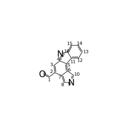 O=Cc1cc2c(c3c1=CN=C3)-c1ccccc1N=2